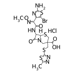 CON=C(C(=O)NC1C(=O)N2CC(CSc3nnc(C)s3)(C(=O)O)CS[C@H]12)c1nc(N)sc1Br.Cl